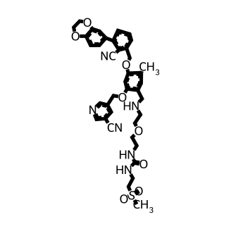 Cc1cc(CNCCOCCNC(=O)NCCS(C)(=O)=O)c(OCc2cncc(C#N)c2)cc1OCc1cccc(-c2ccc3c(c2)OCCO3)c1C#N